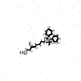 CC(C)(C)[Si](OCCCCC=C(F)CCO)(c1ccccc1)c1ccccc1